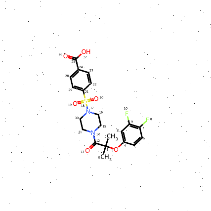 CC(C)(Oc1ccc(F)c(F)c1)C(=O)N1CCN(S(=O)(=O)c2ccc(C(=O)O)cc2)CC1